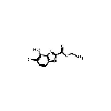 CCOC(=O)c1nc2c(O)c(Cl)ccc2o1